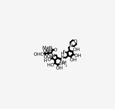 C=C(O)/C(O)=C1/C(=O)N(C(C(=O)NC)C(O)(O)C(O)(O)C=O)C/C1=C(/O)NCc1c(O)c(O)c(O)c(CN2CCOCC2)c1F